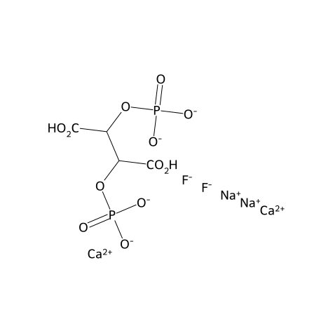 O=C(O)C(OP(=O)([O-])[O-])C(OP(=O)([O-])[O-])C(=O)O.[Ca+2].[Ca+2].[F-].[F-].[Na+].[Na+]